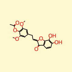 COc1cc(CC=C2Oc3c(ccc(O)c3O)C2=O)cc(OC)c1OC(C)=O